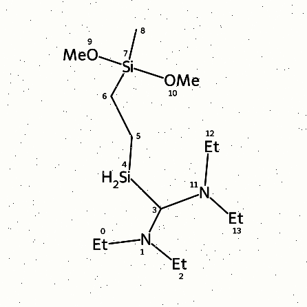 CCN(CC)C([SiH2]CC[Si](C)(OC)OC)N(CC)CC